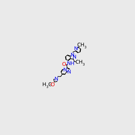 CCc1nn(Cc2cccc(C)n2)c2cccc(NC(=O)c3cnc4cc(CCN5CC(OC)C5)ccn34)c12